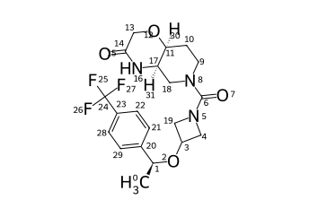 C[C@H](OC1CN(C(=O)N2CC[C@@H]3OCC(=O)N[C@@H]3C2)C1)c1ccc(C(F)(F)F)cc1